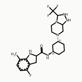 Cc1ccc(F)c2c1NC(C(=O)N[C@@H]1CCC[C@@H](N3CCN4C(C3)NNC4C(F)(F)F)C1)C2